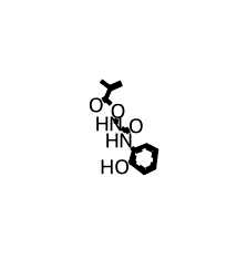 C=C(C)C(=O)ONC(=O)Nc1ccccc1O